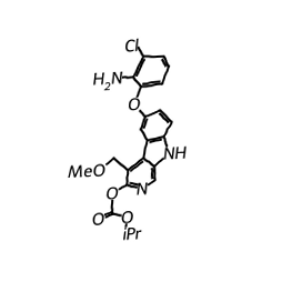 COCc1c(OC(=O)OC(C)C)ncc2[nH]c3ccc(Oc4cccc(Cl)c4N)cc3c12